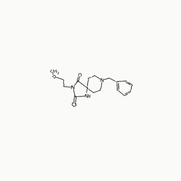 COCCN1C(=O)NC2(CCN(Cc3ccccc3)CC2)C1=O